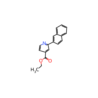 CCOC(=O)c1ccnc(-c2ccc3ccccc3c2)c1